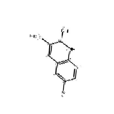 O=C(O)C1=Cc2cc(Br)cnc2NC1O